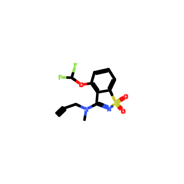 C#CCN(C)C1=NS(=O)(=O)c2cccc(OC(F)F)c21